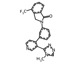 Cn1cnnc1-c1cnccc1-c1cccc(N2Cc3c(cccc3C(F)(F)F)C2=O)c1